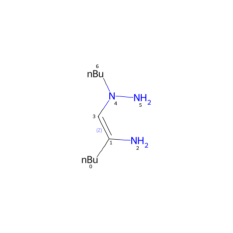 CCCC/C(N)=C/N(N)CCCC